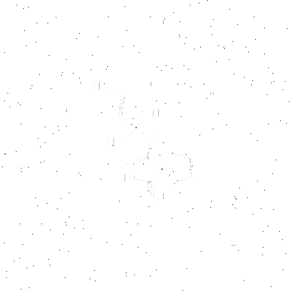 C/C=C/C(C)(C)OC(=O)C1(C(=O)O)CCCC1